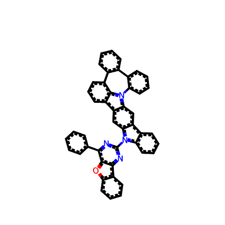 c1ccc(-c2nc(-n3c4ccccc4c4cc5c(cc43)c3cccc4c3n5-c3ccccc3-c3ccccc3-4)nc3c2oc2ccccc23)cc1